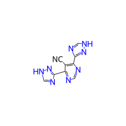 N#Cc1c(-c2nc[nH]n2)ncnc1-c1nc[nH]n1